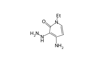 CCn1ccc(N)c(NN)c1=O